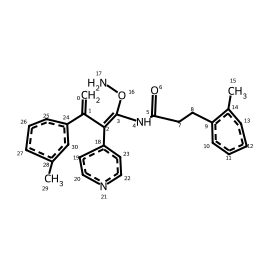 C=C(/C(=C(/NC(=O)CCc1ccccc1C)ON)c1ccncc1)c1cccc(C)c1